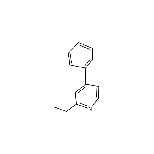 CCc1cc(-c2ccccc2)c[c]n1